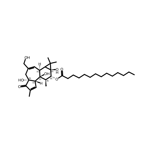 CCCCCCCCCCCCCC(=O)O[C@@H]1[C@@H](C)[C@@]2(O)[C@@H](C=C(CO)C[C@]3(O)C(=O)C(C)=C[C@@H]23)C2C(C)(C)[C@@]21O